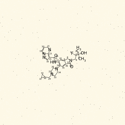 CC(C)(O)C(F)CN1Cc2cc(NC(=O)c3cnn4cccnc34)c(N3CCN(CC4CC4)CC3)cc2C1=O